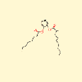 CCCCCCCC(=O)Oc1ccccc1OC(=O)C(C)CCCCCCC